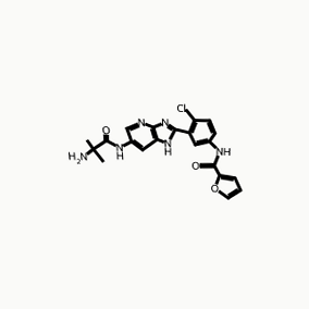 CC(C)(N)C(=O)Nc1cnc2nc(-c3cc(NC(=O)c4ccco4)ccc3Cl)[nH]c2c1